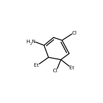 CCC1C(N)=CC(Cl)=CC1(Cl)CC